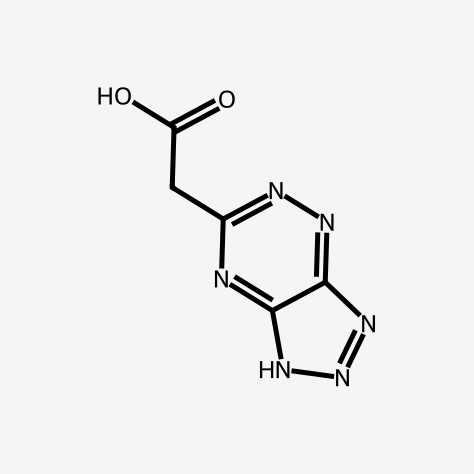 O=C(O)Cc1nnc2nn[nH]c2n1